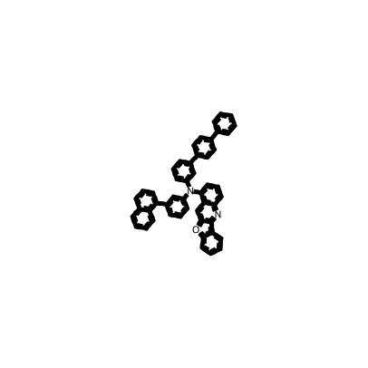 c1ccc(-c2ccc(-c3cccc(N(c4cccc(-c5cccc6ccccc56)c4)c4cccc5nc6c(cc45)oc4ccccc46)c3)cc2)cc1